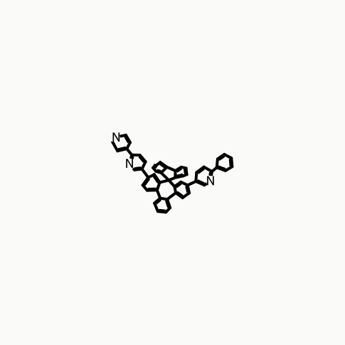 c1ccc(-c2ccc(-c3ccc4c(c3)C3(c5cc(-c6ccc(-c7ccncc7)nc6)ccc5-c5ccccc5-4)c4ccccc4-c4ccccc43)cn2)cc1